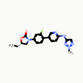 CC[C@H]1CN(c2ccc(-c3ccc(Nc4cnn(C)n4)nc3)c(F)c2)C(=O)O1